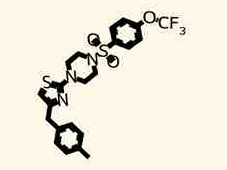 Cc1ccc(Cc2csc(N3CCN(S(=O)(=O)c4ccc(OC(F)(F)F)cc4)CC3)n2)cc1